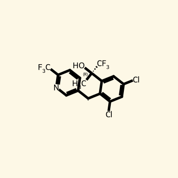 C[C@@](O)(c1cc(Cl)cc(Cl)c1[CH]c1ccc(C(F)(F)F)nc1)C(F)(F)F